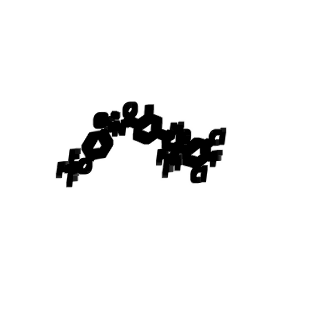 Cc1cc(C2=NOC(c3cc(Cl)c(F)c(Cl)c3)(C(F)(F)F)C2)ccc1C(=O)N=S(C)(=O)c1ccc(OC(F)(F)F)cc1